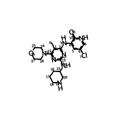 Cc1c(Nc2cc(Cl)c[nH]c2=O)nc(NC2CCCNC2)nc1N1CCOCC1